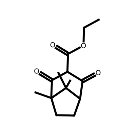 CCOC(=O)C1C(=O)C2CCC(C)(C1=O)C2(C)C